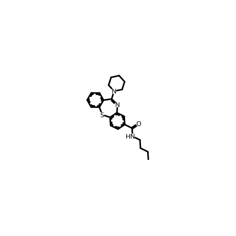 CCCCNC(=O)c1ccc2c(c1)N=C(N1CCCCC1)c1ccccc1S2